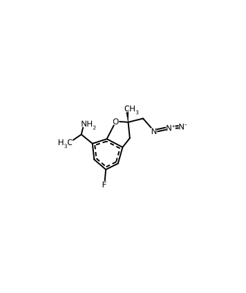 CC(N)c1cc(F)cc2c1O[C@](C)(CN=[N+]=[N-])C2